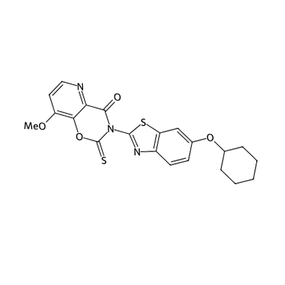 COc1ccnc2c(=O)n(-c3nc4ccc(OC5CCCCC5)cc4s3)c(=S)oc12